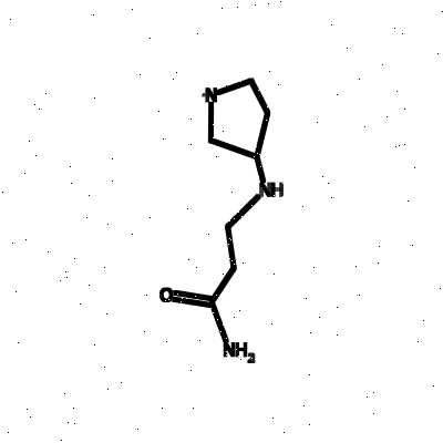 NC(=O)CCNC1CC[N]C1